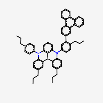 CCCc1ccc(N2c3ccc(CCC)cc3B3c4cc(CCC)ccc4N(c4ccc(CCC)c(-c5ccc6c7ccccc7c7ccccc7c6c5)c4)c4cccc2c43)cc1